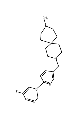 CN1CCC2(CC1)CCN(Cc1ccc(N3C=C(F)C=NC3)nc1)CC2